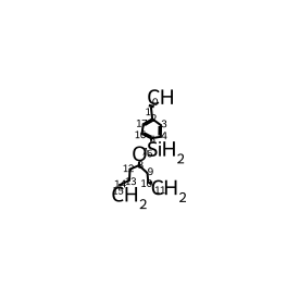 C#Cc1ccc([SiH2]OC(CC=C)CCC=C)cc1